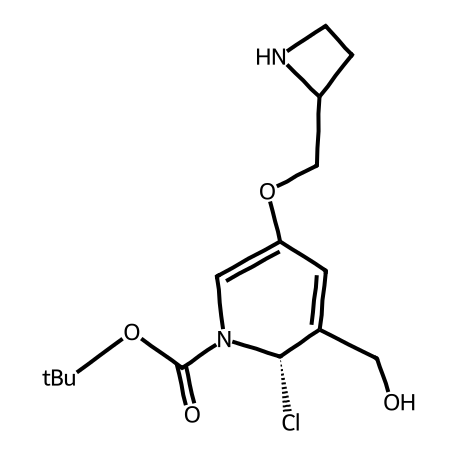 CC(C)(C)OC(=O)N1C=C(OCC2CCN2)C=C(CO)[C@@H]1Cl